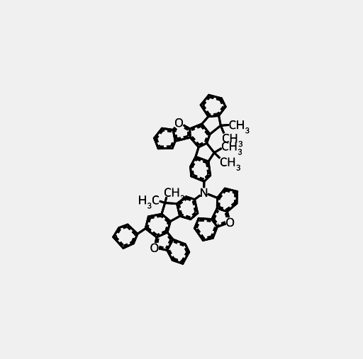 CC1(C)c2cc(N(c3ccc4c(c3)C(C)(C)c3c5c(c6oc7ccccc7c6c3-4)-c3ccccc3C5(C)C)c3cccc4oc5ccccc5c34)ccc2-c2c1cc(-c1ccccc1)c1oc3ccccc3c21